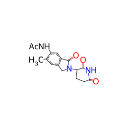 CC(=O)Nc1cc2c(cc1C)CN(C1CCC(=O)NC1=O)C2=O